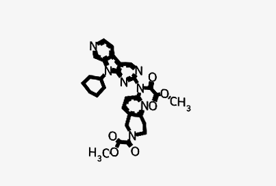 COC(=O)C(=O)N1CCc2nc(N(C(=O)C(=O)OC)c3ncc4c5ccncc5n(C5CCCCC5)c4n3)ccc2C1